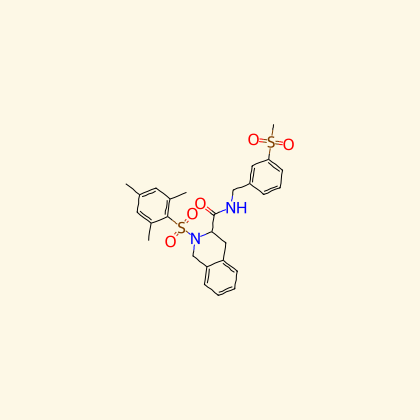 Cc1cc(C)c(S(=O)(=O)N2Cc3ccccc3CC2C(=O)NCc2cccc(S(C)(=O)=O)c2)c(C)c1